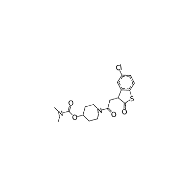 CN(C)C(=O)OC1CCN(C(=O)CC2C(=O)Sc3ccc(Cl)cc32)CC1